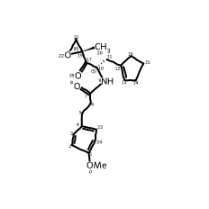 COc1ccc(CCC(=O)N[C@@H](CC2=CCCC2)C(=O)[C@@]2(C)CO2)cc1